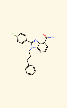 NC(=O)c1cccc2c1nc(-c1ccc(F)cc1)n2CCCc1ccccc1